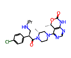 CC(C)NC[C@@H](C(=O)N1CCN(c2ncnc3c2[C@H](C)OC(=O)N3)C[C@H]1C)c1ccc(Cl)cc1